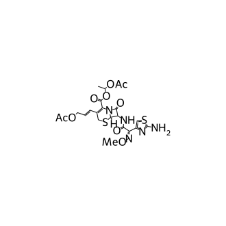 CO/N=C(\C(=O)NC1C(=O)N2C(C(=O)OC(C)OC(C)=O)=C(/C=C/COC(C)=O)CS[C@@H]12)c1csc(N)n1